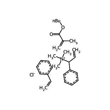 C=C(C)C(=O)OCCCC.C=CC(c1ccccc1)[N+](C)(C)C.C=Cc1ccccc1.[Cl-]